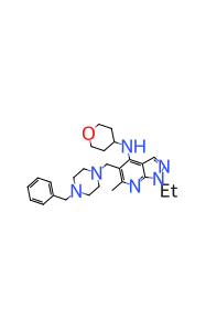 CCn1ncc2c(NC3CCOCC3)c(CN3CCN(Cc4ccccc4)CC3)c(C)nc21